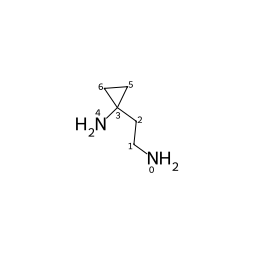 NCCC1(N)CC1